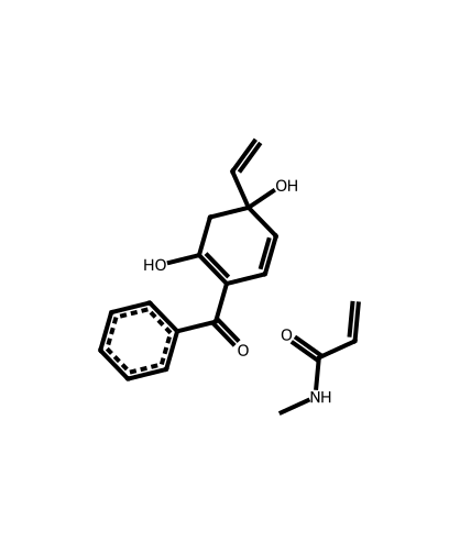 C=CC(=O)NC.C=CC1(O)C=CC(C(=O)c2ccccc2)=C(O)C1